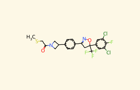 CSCC(=O)N1CC(c2ccc(C3=NOC(c4cc(Cl)c(F)c(Cl)c4)(C(F)(F)F)C3)cc2)C1